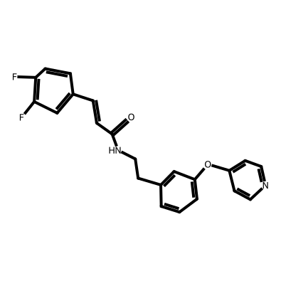 O=C(C=Cc1ccc(F)c(F)c1)NCCc1cccc(Oc2ccncc2)c1